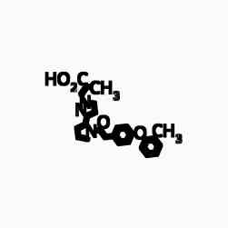 Cc1ccccc1Oc1ccc(CC(=O)N2CCCC2C2=NN(CC(C)C(=O)O)CC2)cc1